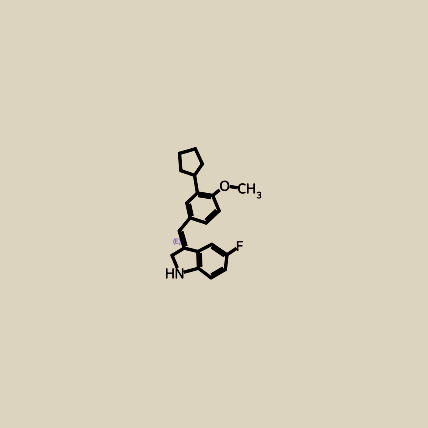 COc1ccc(/C=C2/CNc3ccc(F)cc32)cc1C1CCCC1